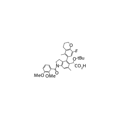 COc1cccc(C(=O)N2CCc3c2cc(C)c([C@H](OC(C)(C)C)C(=O)O)c3-c2cc(F)c3c(c2C)CCCO3)c1OC